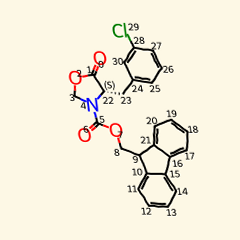 O=C1OCN(C(=O)OCC2c3ccccc3-c3ccccc32)[C@H]1Cc1cccc(Cl)c1